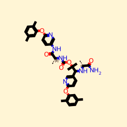 Cc1ccc(C)c(Oc2ccc(NC(=O)[C@@H](C)NC(=O)OC(C)(C)C(N[C@H](C)C(N)=O)c3ccc(Oc4cc(C)ccc4C)nc3)cn2)c1